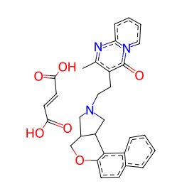 Cc1nc2ccccn2c(=O)c1CCN1CC2COc3ccc4ccccc4c3C2C1.O=C(O)/C=C/C(=O)O